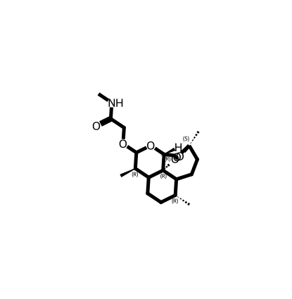 CNC(=O)COC1O[C@@H]2O[C@]3(C)CCC4[C@H](C)CCC([C@H]1C)[C@]42OO3